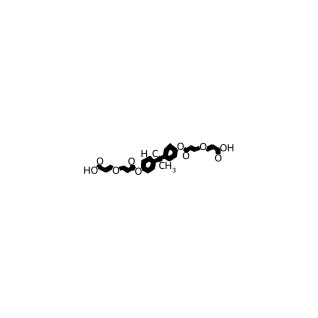 CC(C)(c1ccc(OC(=O)C=COC=CC(=O)O)cc1)c1ccc(OC(=O)C=COC=CC(=O)O)cc1